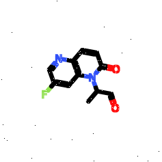 CC(C=O)n1c(=O)ccc2ncc(F)cc21